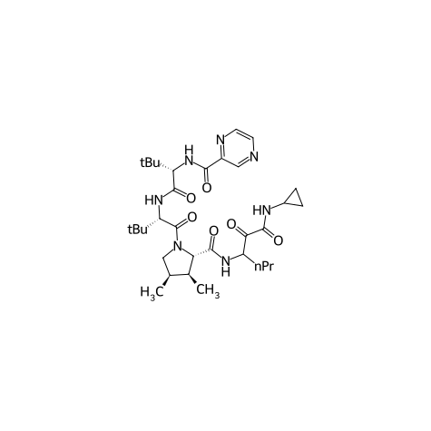 CCCC(NC(=O)[C@@H]1[C@@H](C)[C@@H](C)CN1C(=O)[C@@H](NC(=O)[C@@H](NC(=O)c1cnccn1)C(C)(C)C)C(C)(C)C)C(=O)C(=O)NC1CC1